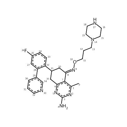 Cc1nc(N)nc2c1/C(=N/OCCCN1CCNCC1)CC(c1ccc(F)cc1-c1cccnc1)C2